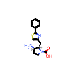 N[C@@H]1CCN(C(=O)O)[C@@H]1Cc1csc(-c2ccccc2)n1